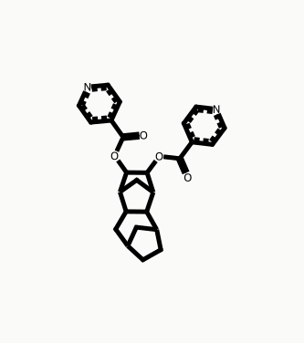 O=C(OC1C2CC(C1OC(=O)c1ccncc1)C1C3CCC(C3)CC21)c1ccncc1